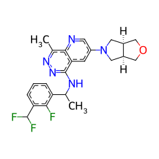 Cc1nnc(NC(C)c2cccc(C(F)F)c2F)c2cc(N3C[C@H]4COC[C@H]4C3)cnc12